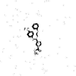 CC(C)(C)OC(=O)N1CC[C@H]([C@@H](CCSc2ccccc2)Oc2ccc(C(F)(F)F)cc2)C1